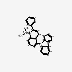 CN(C)N1C(c2ccccc2)=CCc2c1cccc2-n1c2ccccc2c2ccccc21